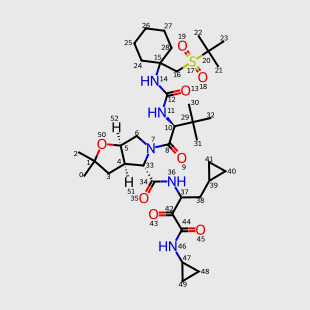 CC1(C)C[C@H]2[C@H](CN(C(=O)[C@@H](NC(=O)NC3(CS(=O)(=O)C(C)(C)C)CCCCC3)C(C)(C)C)[C@@H]2C(=O)NC(CC2CC2)C(=O)C(=O)NC2CC2)O1